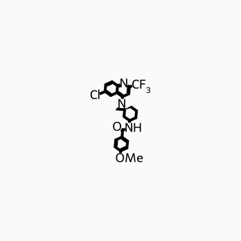 COc1ccc(C(=O)NC2CCC[C@@]3(C2)CN3c2cc(C(F)(F)F)nc3ccc(Cl)cc23)cc1